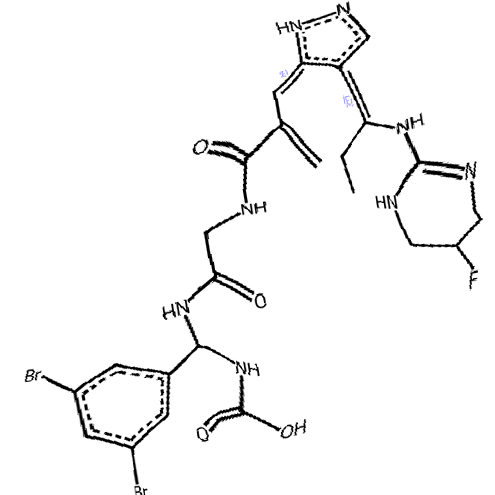 C=C(/C=c1/[nH]nc/c1=C(/CC)NC1=NCC(F)CN1)C(=O)NCC(=O)NC(NC(=O)O)c1cc(Br)cc(Br)c1